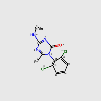 CCc1nc(NNC)nc(=O)n1-c1c(Cl)cccc1Cl